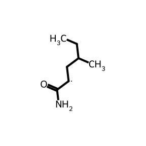 CCC(C)C[CH]C(N)=O